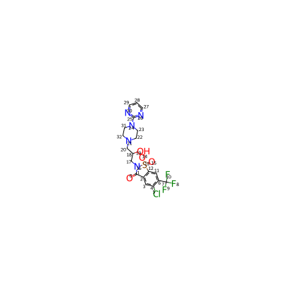 O=C1c2cc(Cl)c(C(F)(F)F)cc2S(=O)(=O)N1CC(O)CN1CCN(c2ncccn2)CC1